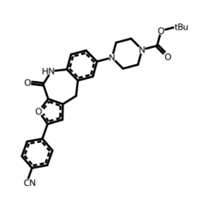 CC(C)(C)OC(=O)N1CCN(c2ccc3c(c2)Cc2cc(-c4ccc(C#N)cc4)oc2C(=O)N3)CC1